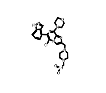 O=[SH](=O)CN1CCN(Cc2cn3c(Cl)c(-c4cccc5[nH]ncc45)nc(N4CCOCC4)c3n2)CC1